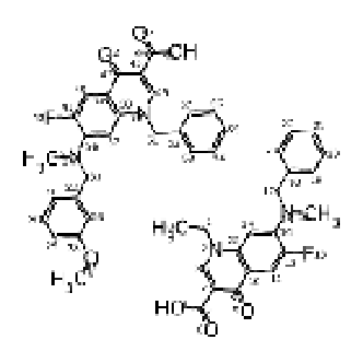 CCn1cc(C(=O)O)c(=O)c2cc(F)c(N(C)Cc3ccccc3)cc21.COc1cccc(CN(C)c2cc3c(cc2F)c(=O)c(C(=O)O)cn3Cc2ccccc2)c1